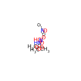 COc1cc(NC(=O)N(O)CCOc2ccc3c(c2)CCN(CCCc2ccccc2)C3=O)cc(OC)c1OC